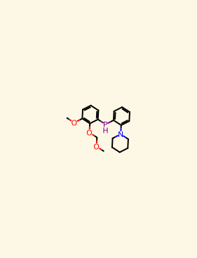 COCOc1c(OC)cccc1Pc1ccccc1N1CCCCC1